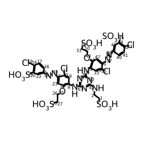 O=S(=O)(O)CCNc1nc(Nc2cc(Cl)c(N=Nc3ccc(Cl)c(S(=O)(=O)O)c3)cc2OCCS(=O)(=O)O)nc(Nc2cc(Cl)c(N=Nc3ccc(Cl)c(S(=O)(=O)O)c3)cc2OCCS(=O)(=O)O)n1